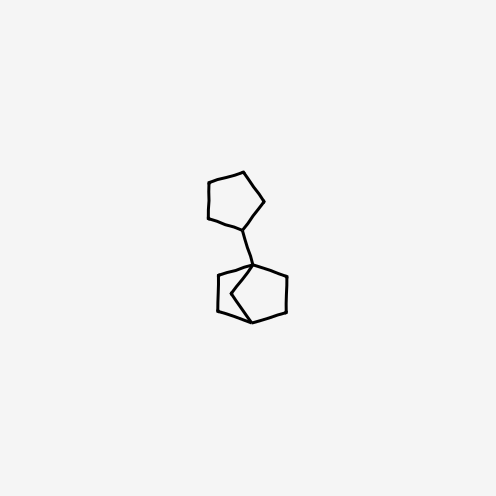 C1CCC(C23CCC(CC2)C3)C1